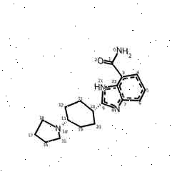 NC(=O)c1cccc2nc([C@H]3CC[C@@H](N4CCCC4)CC3)[nH]c12